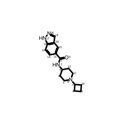 O=C(NC1CCN(C2CCC2)CC1)c1ccc2[nH]ncc2c1